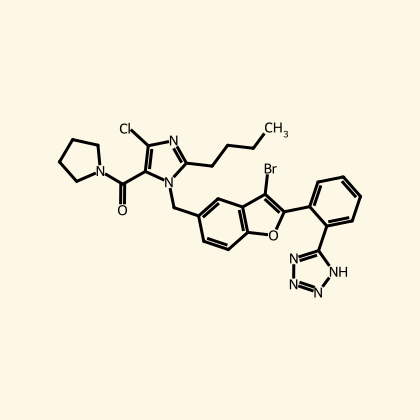 CCCCc1nc(Cl)c(C(=O)N2CCCC2)n1Cc1ccc2oc(-c3ccccc3-c3nnn[nH]3)c(Br)c2c1